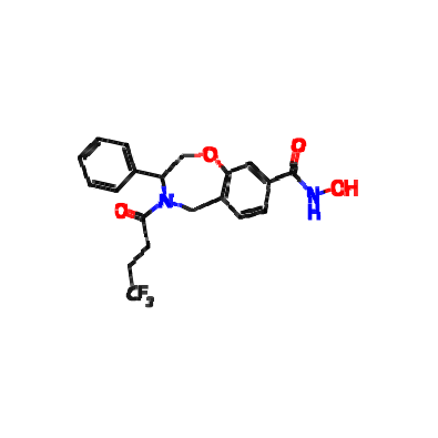 O=C(NO)c1ccc2c(c1)OCC(c1ccccc1)N(C(=O)CCC(F)(F)F)C2